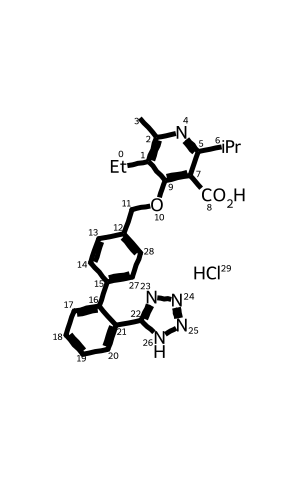 CCc1c(C)nc(C(C)C)c(C(=O)O)c1OCc1ccc(-c2ccccc2-c2nnn[nH]2)cc1.Cl